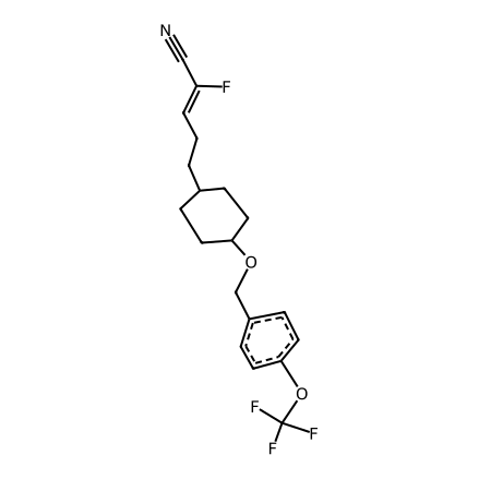 N#CC(F)=CCCC1CCC(OCc2ccc(OC(F)(F)F)cc2)CC1